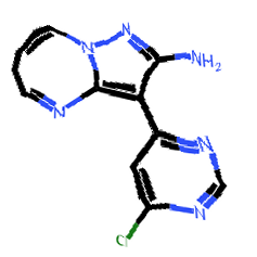 Nc1nn2cccnc2c1-c1cc(Cl)ncn1